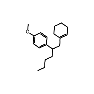 CCCCC(CC1=CCCCC1)c1ccc(OC)cc1